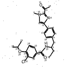 [CH2]CC(Cc1ccc(-c2cn(C)c(C(C)=O)n2)cc1)NC(=O)c1ccc(OC(C)C)c(Cl)c1